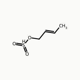 C/C=C/CO[SH](=O)=O